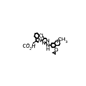 CN1CCc2c(cc(Nc3ncc(Cl)c(-n4cc(CC(=O)O)c5ccccc54)n3)cc2OC2CC2)C1